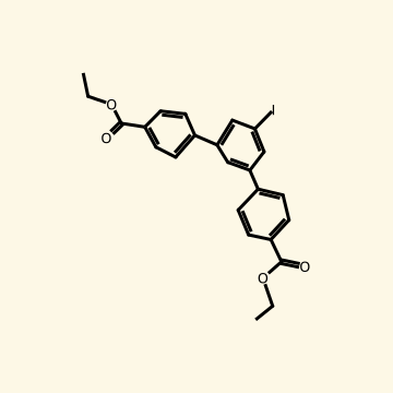 CCOC(=O)c1ccc(-c2cc(I)cc(-c3ccc(C(=O)OCC)cc3)c2)cc1